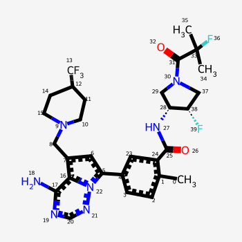 Cc1ccc(-c2cc(CN3CCC(C(F)(F)F)CC3)c3c(N)ncnn23)cc1C(=O)N[C@@H]1CN(C(=O)C(C)(C)F)C[C@@H]1F